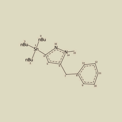 CCC[CH2][Sn]([CH2]CCC)([CH2]CCC)[c]1cc(Cc2ccccc2)n(C)n1